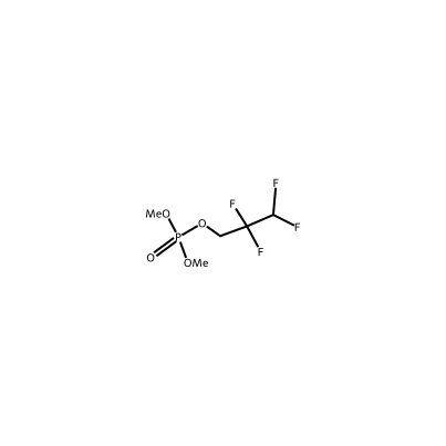 COP(=O)(OC)OCC(F)(F)C(F)F